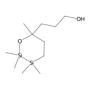 CC1(CCCO)CC[Si](C)(C)[Si](C)(C)O1